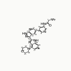 CC(C)CC(=O)Nc1cncc(-c2cnc3[nH]nc(-c4nc5c(N6CCOCC6)cncc5[nH]4)c3c2)c1